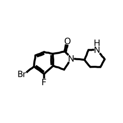 O=C1c2ccc(Br)c(F)c2CN1C1CCCNC1